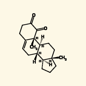 C[C@@]12CCC[C@H]1[C@@H]1CC=C3CCC(=O)C(=O)[C@]3(C)[C@H]1CC2